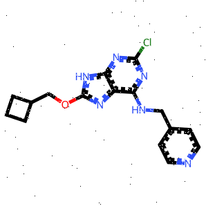 Clc1nc(NCc2ccncc2)c2nc(OCC3CCC3)[nH]c2n1